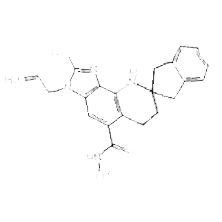 C=CCn1c(C)nc2c3c(c(C(=O)NC)cc21)CCC1(Cc2ccccc2C1)N3